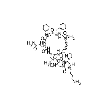 NCCCC[C@H](NC(=O)[C@@H]1CCCN1C(=O)[C@@H]1CSSC[C@H](N)C(=O)N[C@@H](Cc2ccccc2)C(=O)N[C@@H](Cc2ccccc2)C(=O)N[C@@H](CCC(N)=O)C(=O)N[C@@H](CC(N)=O)C(=O)N1)C(=O)NCC(N)=O